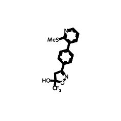 CSc1ncccc1-c1ccc(C2=NOC(O)(C(F)(F)F)C2)cc1